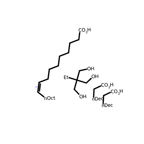 CCC(CO)(CO)CO.CCCCCCCC/C=C\CCCCCCCC(=O)O.CCCCCCCCCCCC(=O)O.CCCCCCCCCCCC(=O)O